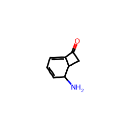 NC1C=CC=C2C(=O)CC21